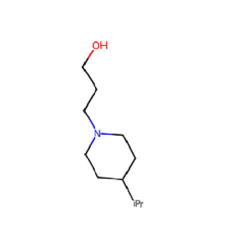 CC(C)C1CCN(CCCO)CC1